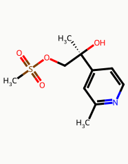 Cc1cc([C@](C)(O)COS(C)(=O)=O)ccn1